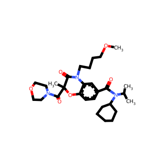 COCCCCN1C(=O)C(C)(C(=O)N2CCOCC2)Oc2ccc(C(=O)N(C(C)C)C3CCCCC3)cc21